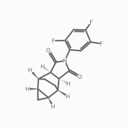 O=C1[C@@H]2[C@@H]3CC[C@@H]([C@@H]4C[C@@H]43)[C@@H]2C(=O)N1c1cc(F)c(F)cc1F